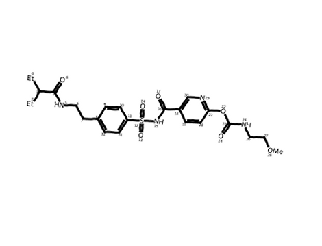 CCC(CC)C(=O)NCCc1ccc(S(=O)(=O)NC(=O)c2ccc(OC(=O)NCCOC)nc2)cc1